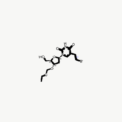 CCOCO[C@H]1C[C@H](n2cc(/C=C/Br)c(=O)[nH]c2=O)O[C@@H]1CO